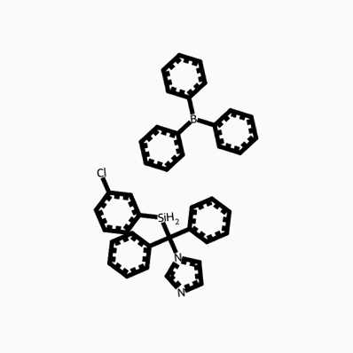 Clc1cccc([SiH2]C(c2ccccc2)(c2ccccc2)n2ccnc2)c1.c1ccc(B(c2ccccc2)c2ccccc2)cc1